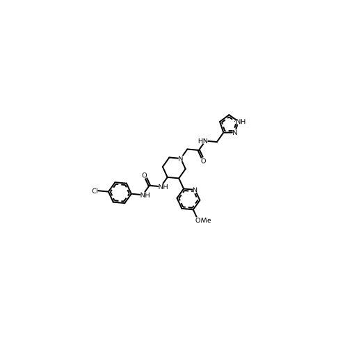 COc1ccc(C2CN(CC(=O)NCc3cc[nH]n3)CCC2NC(=O)Nc2ccc(Cl)cc2)nc1